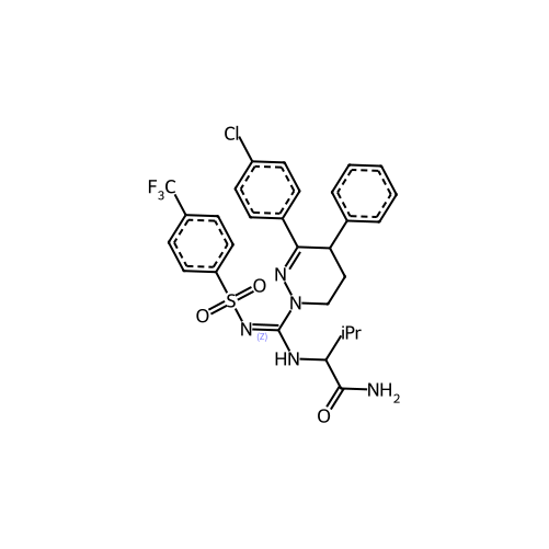 CC(C)C(N/C(=N/S(=O)(=O)c1ccc(C(F)(F)F)cc1)N1CCC(c2ccccc2)C(c2ccc(Cl)cc2)=N1)C(N)=O